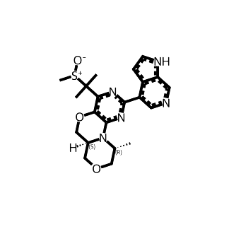 C[C@@H]1COC[C@H]2COc3c(nc(-c4cncc5[nH]ccc45)nc3C(C)(C)[S+](C)[O-])N21